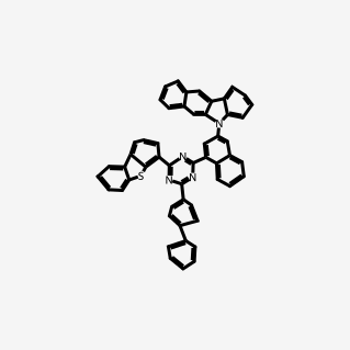 c1ccc(-c2ccc(-c3nc(-c4cc(-n5c6ccccc6c6cc7ccccc7cc65)cc5ccccc45)nc(-c4cccc5c4sc4ccccc45)n3)cc2)cc1